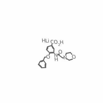 O=C(CN1CCOCC1)Nc1cc(C(=O)O)ccc1OCc1ccccc1.[LiH]